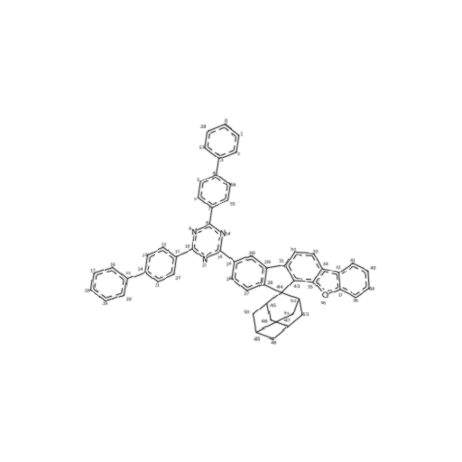 c1ccc(-c2ccc(-c3nc(-c4ccc(-c5ccccc5)cc4)nc(-c4ccc5c(c4)-c4ccc6c(oc7ccccc76)c4C54C5CC6CC(C5)CC4C6)n3)cc2)cc1